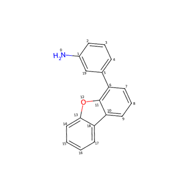 Nc1cccc(-c2cccc3c2oc2ccccc23)c1